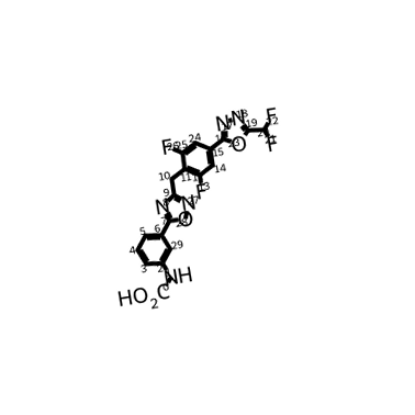 O=C(O)Nc1cccc(-c2nc(Cc3c(F)cc(-c4nnc(C(F)F)o4)cc3F)no2)c1